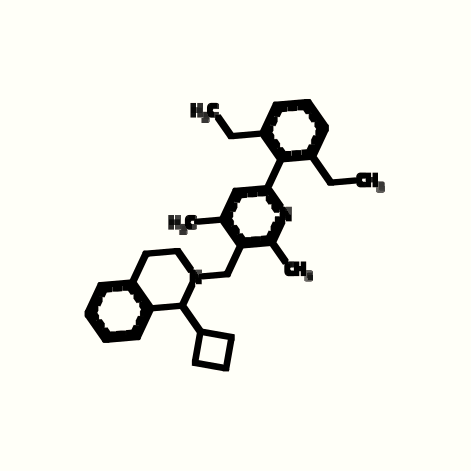 CCc1cccc(CC)c1-c1cc(C)c(CN2CCc3ccccc3C2C2CCC2)c(C)n1